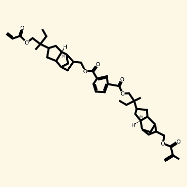 C=CC(=O)OCC(C)(CC)C1CC2C3CC(COC(=O)c4cccc(C(=O)OCC(C)(CC)C5CC6C7CC(CC7COC(=O)C(=C)C)[C@H]6C5)c4)C(C3)[C@@H]2C1